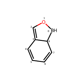 B1O[C]=C2C=CC=CC12